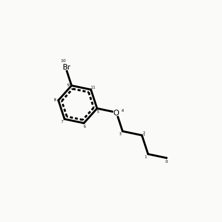 CC[CH]COc1cccc(Br)c1